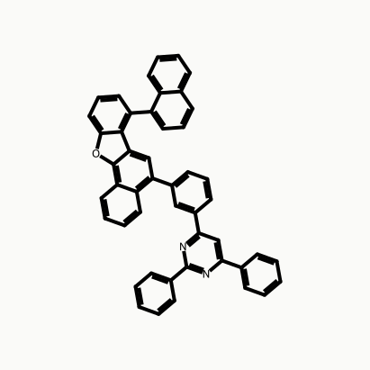 c1ccc(-c2cc(-c3cccc(-c4cc5c(oc6cccc(-c7cccc8ccccc78)c65)c5ccccc45)c3)nc(-c3ccccc3)n2)cc1